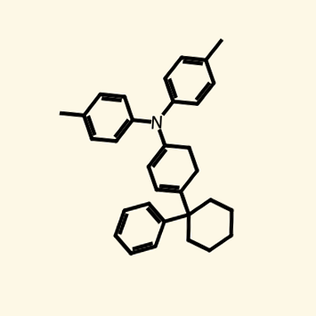 Cc1ccc(N(C2=CC=C(C3(c4ccccc4)CCCCC3)CC2)c2ccc(C)cc2)cc1